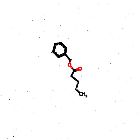 CCCCC(=O)O[CH]c1ccccc1